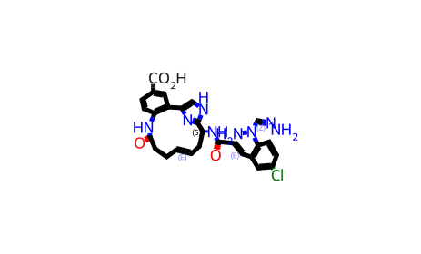 N/N=C\N(N)c1ccc(Cl)cc1/C=C/C(=O)N[C@H]1C/C=C/CCC(=O)Nc2ccc(C(=O)O)cc2-c2c[nH]c1n2